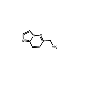 NCc1ccc2nccn2n1